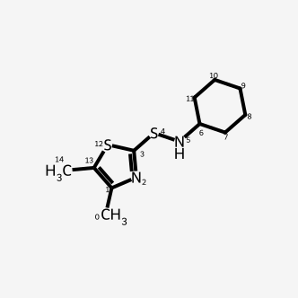 Cc1nc(SNC2CCCCC2)sc1C